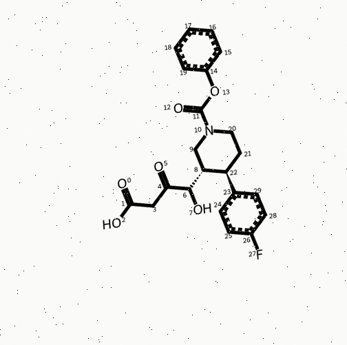 O=C(O)CC(=O)C(O)[C@@H]1CN(C(=O)Oc2ccccc2)CC[C@H]1c1ccc(F)cc1